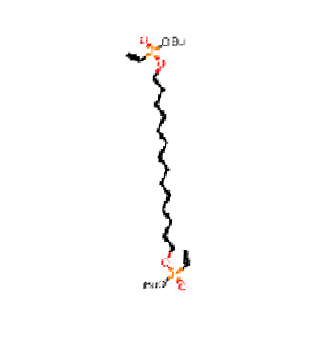 C=CP(=O)(OCCCCCCCCCCCCCCOP(=O)(C=C)OCC(C)C)OCC(C)C